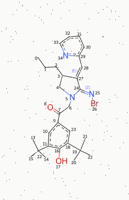 CCCC1CN(CC(=O)c2cc(C(C)(C)C)c(O)c(C(C)(C)C)c2)C(=N\Br)/C1=C/c1ccccn1